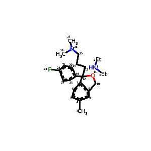 CCNCC.Cc1ccc2c(c1)COC2(CCCN(C)C)c1ccc(F)cc1